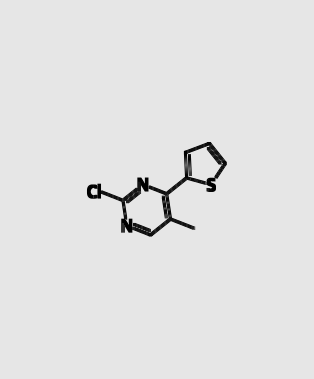 Cc1cnc(Cl)nc1-c1cccs1